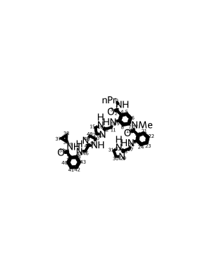 CCCNC(=O)c1ccccc1NCC1=NCCN1.CNC(=O)c1ccccc1NCC1=NCCN1.O=C(NC1CC1)c1ccccc1NCC1=NCCN1